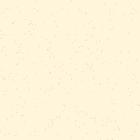 Cc1cccc2c(-n3c4ccccc4c4ccccc43)ccc(C34c5ccccc5-c5ccccc5C3(C)c3cccc5c(-n6c7ccccc7c7ccccc76)ccc4c35)c12